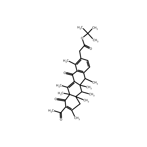 CC(=O)C1=C(C)CC2(C)C(C)C3(C)C(=C(C)C2(C)C1=O)C(=O)c1c(ccc(CC(=O)OC(C)(C)C)c1C)C3C